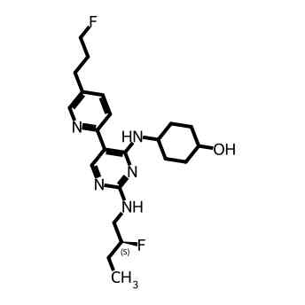 CC[C@H](F)CNc1ncc(-c2ccc(CCCF)cn2)c(NC2CCC(O)CC2)n1